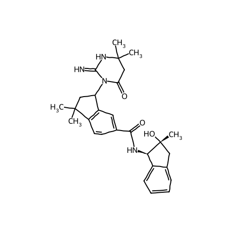 CC1(C)CC(=O)N(C2CC(C)(C)c3ccc(C(=O)N[C@@H]4c5ccccc5C[C@@]4(C)O)cc32)C(=N)N1